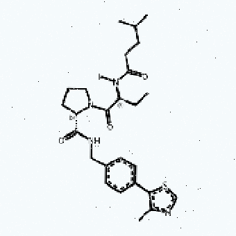 CC[C@@H](C(=O)N1CCC[C@H]1C(=O)NCc1ccc(-c2scnc2C)cc1)N(I)C(=O)CCC(C)C